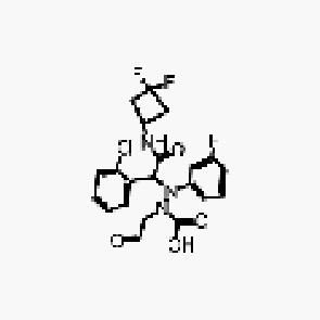 O=CCN(C(=O)O)N(c1cccc(F)c1)C(C(=O)NC1CC(F)(F)C1)c1ccccc1Cl